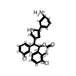 Nc1cccc(-c2cc(C(c3cccc(Cl)c3)C(OC=O)c3cccc(Cl)c3F)c[nH]2)c1